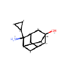 NC1(C2CC2)C2CC3CC1CC(O)(C3)C2